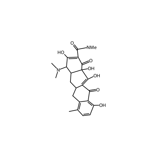 CNC(=O)C1=C(O)C(N(C)C)C2CC3Cc4c(C)ccc(O)c4C(=O)C3=C(O)C2(O)C1=O